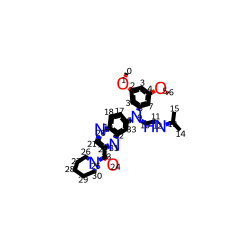 COc1cc(OC)cc(N(CCNC(C)C)c2ccc3ncc(C(=O)N4CCCCC4)nc3c2)c1